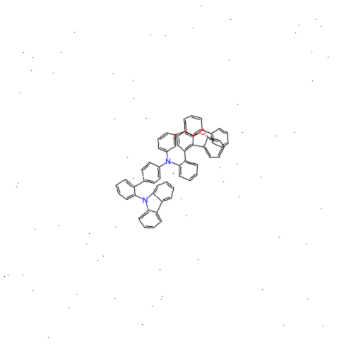 c1ccc(-c2cccc(-c3cccc(N(c4ccc(-c5ccccc5-n5c6ccccc6c6ccccc65)cc4)c4ccccc4-c4cccc5oc6ccccc6c45)c3)c2)cc1